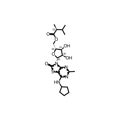 Cc1nc(NC2CCCC2)c2sc(=O)n([C@@H]3O[C@H](COC(=O)[C@@H](C)C(C)C)[C@@H](O)[C@H]3O)c2n1